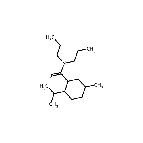 CCCN(CCC)C(=O)C1CC(C)CCC1C(C)C